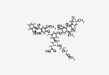 C=C/C=C1/C[C@H]2CN(C)c3cc(OCc4cc(COc5cc6c(cc5OC)C(=O)N5c7ccccc7C[C@H]5C=N6)cc(N(CCCC(=O)O)CCOCCOCCOC)c4)c(OC)cc3C(=O)N2/C1=C/C